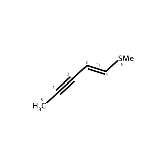 CC#C/C=C/SC